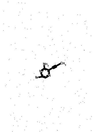 CC#Cc1ncc(Br)nc1N